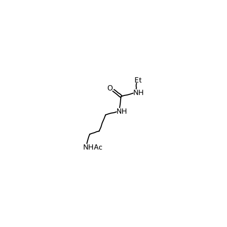 CCNC(=O)NCCCNC(C)=O